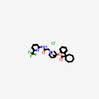 O=C(C[N+]12CCC(CC1)C(OC(=O)C1(c3ccccc3)CCCCCC1)C2)Nc1cccc(C(F)(F)F)n1.[Cl-]